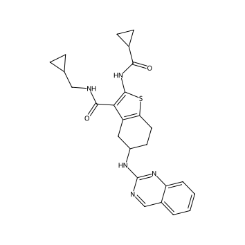 O=C(NCC1CC1)c1c(NC(=O)C2CC2)sc2c1CC(Nc1ncc3ccccc3n1)CC2